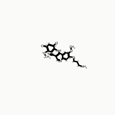 COc1cc(Nc2c(C#N)cnc3cc(OCCCN)c(OC)cc23)c(Cl)cc1Cl